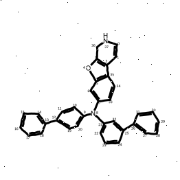 C1=Cc2c(oc3cc(N(c4ccc(-c5ccccc5)cc4)c4cccc(-c5ccccc5)c4)ccc23)CN1